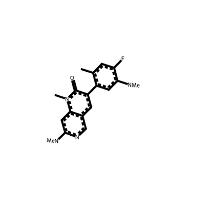 CNc1cc2c(cn1)cc(-c1cc(NC)c(F)cc1C)c(=O)n2C